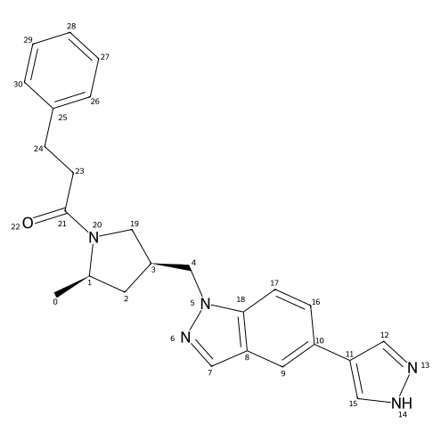 C[C@@H]1C[C@H](Cn2ncc3cc(-c4cn[nH]c4)ccc32)CN1C(=O)CCc1ccccc1